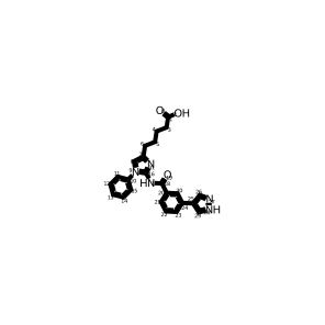 O=C(O)CCCCc1cn(-c2ccccc2)c(NC(=O)c2cccc(-c3cn[nH]c3)c2)n1